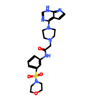 O=C(CN1CCN(c2nc[nH]c3nccc2-3)CC1)Nc1cccc(S(=O)(=O)N2CCOCC2)c1